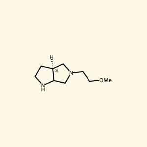 COCCN1CC2NCC[C@H]2C1